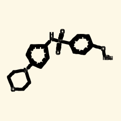 CCCCOc1ccc(S(=O)(=O)Nc2ccc(N3CCOCC3)cc2)cc1